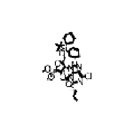 CCCSc1nc(Cl)c2nnn([C@@H]3[C@@H](OC(C)=O)[C@H](C(OC)OC)O[C@H]3CO[Si](c3ccccc3)(c3ccccc3)C(C)(C)C)c2n1